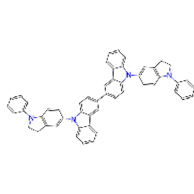 c1ccc(N2CCc3cc(-n4c5ccccc5c5cc(-c6ccc7c(c6)c6ccccc6n7-c6ccc7c(c6)CCN7c6ccccc6)ccc54)ccc32)cc1